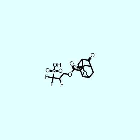 O=C1OC2CC3CC(C(=O)OCC(F)C(F)(F)S(=O)(=O)O)(C2)CC1C3=O